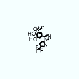 O=[N+]([O-])c1cc(-c2cncn2-c2ccc(C(F)(F)F)cn2)cc(O)c1O